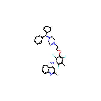 Cc1cc(Nc2c(F)c(C)c(F)c(OCCN3CCN(C(c4ccccc4)c4ccccc4)CC3)c2F)c2ccccc2n1